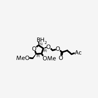 B[C@@H]1O[C@H](COC)C(OC)[C@@H]1OCOC(=O)CCC(C)=O